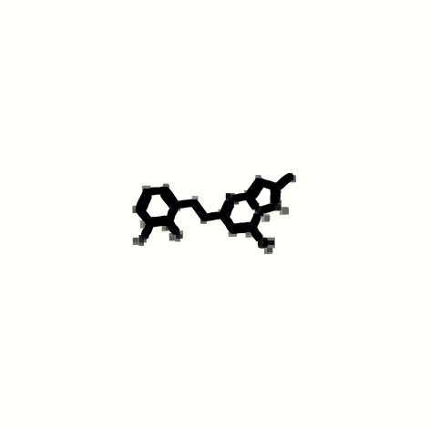 Cc1cc2nc(CCc3cccc(F)c3F)cc(O)n2n1